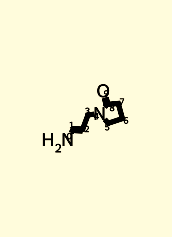 NC=CCN1CCCC1=O